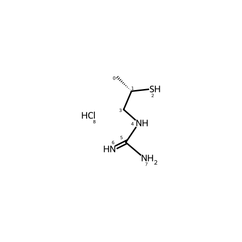 C[C@H](S)CNC(=N)N.Cl